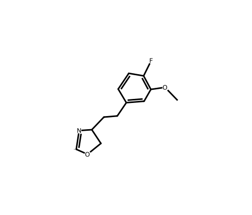 COc1cc(CCC2CO[C]=N2)ccc1F